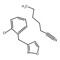 CCCCCC#N.Clc1ccccc1Cc1ccon1